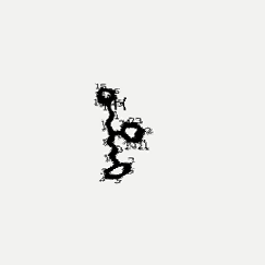 C(=Cc1ccccc1)C=C(CCC1=CC2CC[C@H]1C2)c1ccccc1